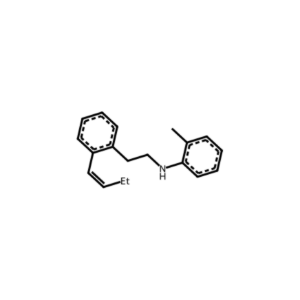 CC/C=C\c1ccccc1CCNc1ccccc1C